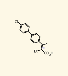 CC/C(C(=O)O)=C(/C)c1ccc(-c2ccc(Cl)cc2)cc1